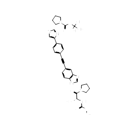 COC(=O)N[C@@H](C)C(=O)N1CCC[C@H]1c1nc2cc(C#Cc3ccc(-c4c[nH]c([C@@H]5CCCN5C(=O)OC(C)(C)C)n4)cc3)ccc2[nH]1